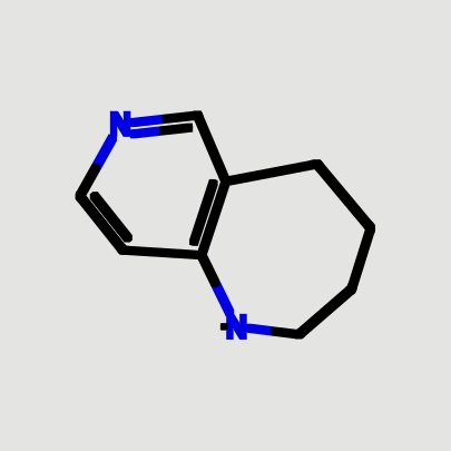 c1cc2c(cn1)CCCC[N]2